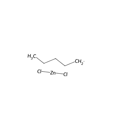 [CH2]CCCC.[Cl][Zn][Cl]